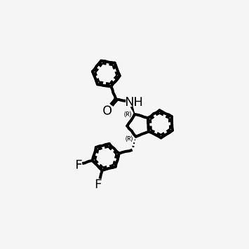 O=C(N[C@@H]1C[C@@H](Cc2ccc(F)c(F)c2)c2ccccc21)c1ccccc1